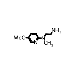 COc1ccc(N(C)CCN)nc1